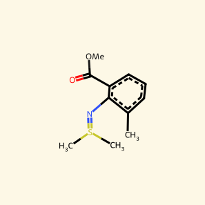 COC(=O)c1cccc(C)c1N=S(C)C